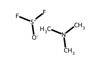 CN(C)C.[O-][S+](F)F